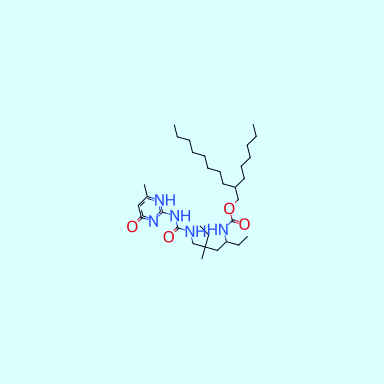 CCCCCCCCC(CCCCCC)COC(=O)NC(CC)CC(C)(CC)CNC(=O)Nc1nc(=O)cc(C)[nH]1